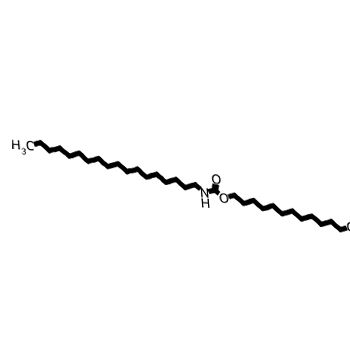 CCCCCCCCCCCCCCCCCCNC(=O)OCCCCCCCCCCCCC